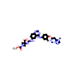 C=N/C(=C\c1nncn1C)Oc1ccc(Nc2ncnc3ccc(NC4=NC5(CO4)CN(C(=O)OC(C)(C)C)C5)cc23)cc1C